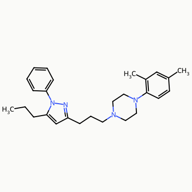 CCCc1cc(CCCN2CCN(c3ccc(C)cc3C)CC2)nn1-c1ccccc1